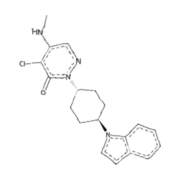 CNc1cnn([C@H]2CC[C@H](n3ccc4ccccc43)CC2)c(=O)c1Cl